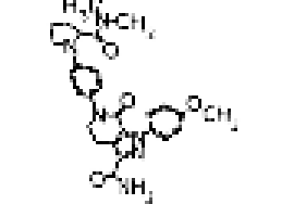 COc1ccc(-n2nc(C(N)=O)c3c2C(=O)N(c2ccc(N4CCCC4C(=O)N(C)C)cc2)CC3)cc1